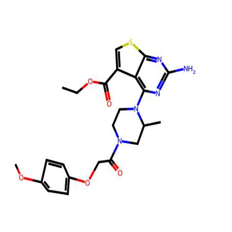 CCOC(=O)c1csc2nc(N)nc(N3CCN(C(=O)COc4ccc(OC)cc4)CC3C)c12